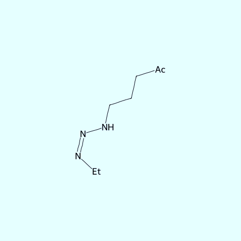 CC/N=N\NCCCC(C)=O